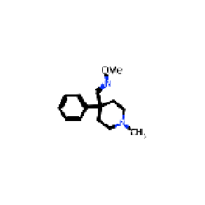 CO/N=C/C1(c2ccccc2)CCN(C)CC1